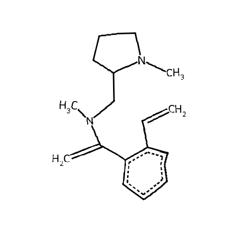 C=Cc1ccccc1C(=C)N(C)CC1CCCN1C